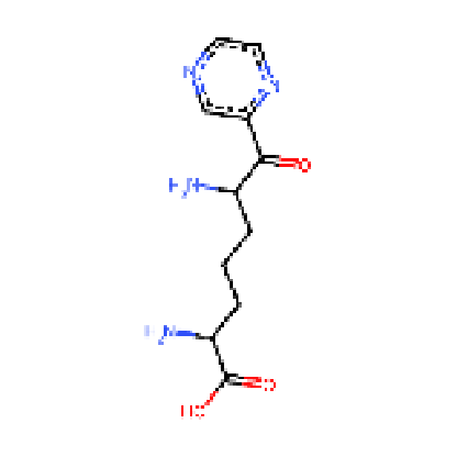 NC(CCC[C@H](N)C(=O)O)C(=O)c1cnccn1